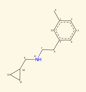 Cc1cccc(CCNCC2CC2)c1